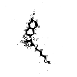 [2H]C([2H])([2H])[C@]([2H])(C(=O)OCCCCOC)c1ccc2cc(OC)ccc2c1